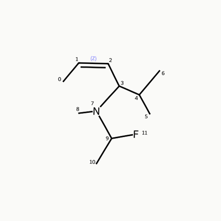 C/C=C\C(C(C)C)N(C)C(C)F